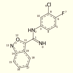 N=C(Nc1ccc(F)c(Cl)c1)c1onc2ccccc12